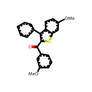 COc1cccc(C(=O)c2sc3cc(OC)ccc3c2-c2ccccc2)c1